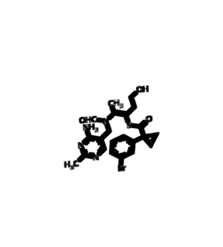 C/C(=C(\CCO)SC(=O)C1(c2cccc(Br)c2)CC1)N(C=O)Cc1cnc(C)nc1N